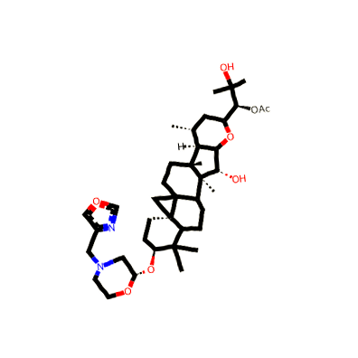 CC(=O)O[C@@H](C1C[C@@H](C)[C@H]2C(O1)[C@H](O)[C@@]1(C)C3CCC4C(C)(C)[C@@H](O[C@H]5CN(Cc6cocn6)CCO5)CC[C@@]45CC35CC[C@]21C)C(C)(C)O